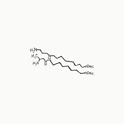 CCCCCCCCCCCCCCCCCCNCC(C)N.CCCCCCCCCCCCCCCCCCNCCCN